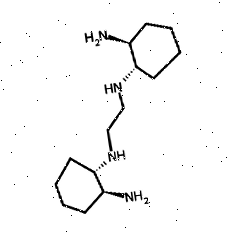 N[C@H]1CCCC[C@@H]1NCCN[C@H]1CCCC[C@@H]1N